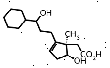 C[C@@]1(CC(=O)O)C(CCC(O)C2CCCCC2)=CC[C@@H]1O